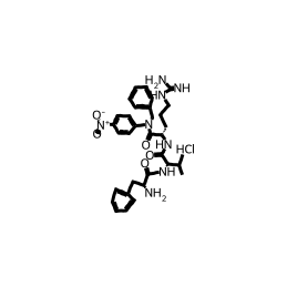 CC(C)[C@H](NC(=O)[C@@H](N)Cc1ccccc1)C(=O)N[C@@H](CCCNC(=N)N)C(=O)N(Cc1ccccc1)c1ccc([N+](=O)[O-])cc1.Cl